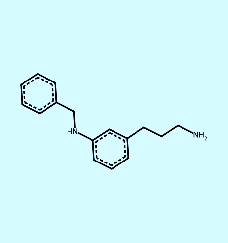 NCCCc1cccc(NCc2ccccc2)c1